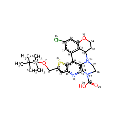 CC(C)(C)[Si](C)(C)OCc1cc2nccc(-c3cc(Cl)cc4c3C(N3CCN(C(=O)O)CC3)CCO4)c2s1